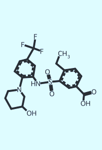 CCc1ccc(C(=O)O)cc1S(=O)(=O)Nc1cc(C(F)(F)F)ccc1N1CCCC(O)C1